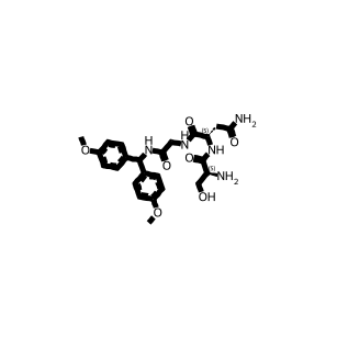 COc1ccc(C(NC(=O)CNC(=O)[C@H](CC(N)=O)NC(=O)[C@@H](N)CO)c2ccc(OC)cc2)cc1